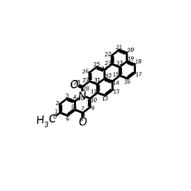 Cc1ccc2c(c1)c(=O)cc1c3ccc4c5cccc6cccc(c7ccc(c(=O)n21)c3c74)c65